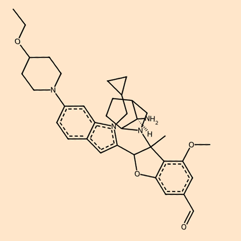 CCOC1CCN(c2ccc3cc(C4Oc5cc(C=O)cc(OC)c5C4(C)N4CC5CCC4[C@@H]5N)n(CC4CC4)c3c2)CC1